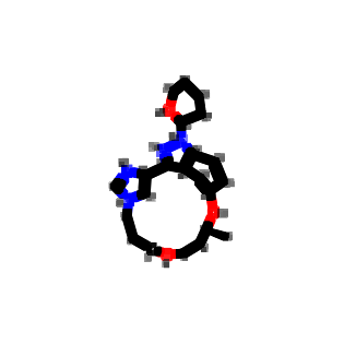 C[C@H]1CCOCCCn2cnc(c2)-c2nn(C3CCCCO3)c3ccc(cc23)O1